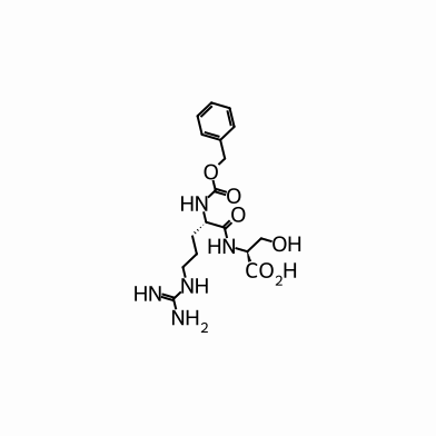 N=C(N)NCCC[C@H](NC(=O)OCc1ccccc1)C(=O)N[C@@H](CO)C(=O)O